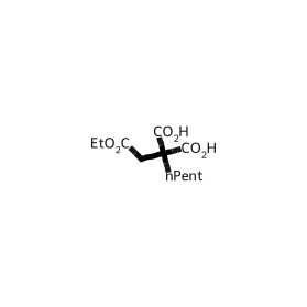 CCCCCC(CC(=O)OCC)(C(=O)O)C(=O)O